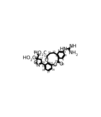 N=C(N)Nc1ccc2c(c1)CCCOc1c(cccc1C1=NOC(CC(=O)O)(C(=O)O)C1)OC2=O